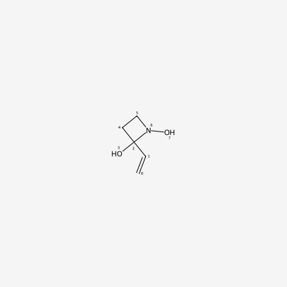 C=CC1(O)CCN1O